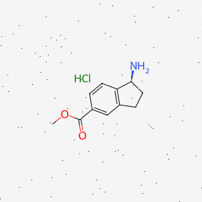 COC(=O)c1ccc2c(c1)CC[C@@H]2N.Cl